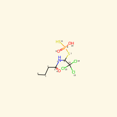 CCCC(=O)NC(SP(=O)(O)S)C(Cl)(Cl)Cl